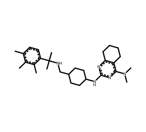 Cc1ccc(C(C)(C)NCC2CCC(Nc3nc4c(c(N(C)C)n3)CCCC4)CC2)c(C)c1C